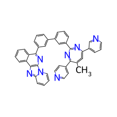 CC1=C=C(c2cccnc2)N=C(c2cccc(-c3cccc(-c4nc5c(nc6ccccn65)c5ccccc45)c3)c2)N=C1c1ccncc1